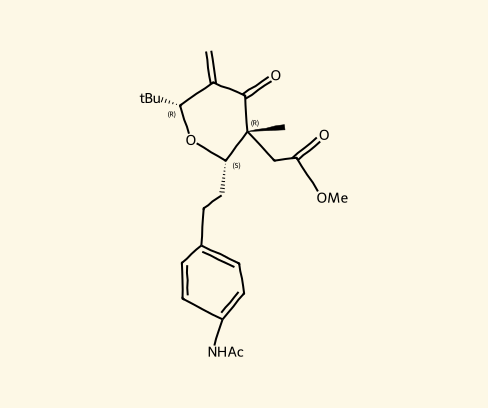 C=C1C(=O)[C@](C)(CC(=O)OC)[C@H](CCc2ccc(NC(C)=O)cc2)O[C@@H]1C(C)(C)C